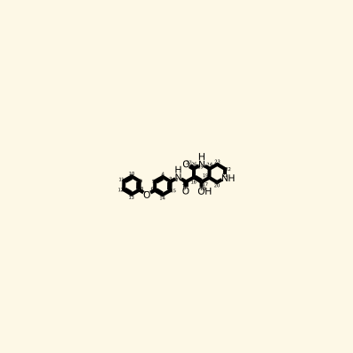 O=C(Nc1ccc(Oc2ccccc2)cc1)C1=C(O)C2CNCCC2NC1=O